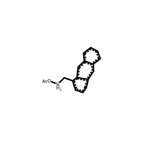 CC(=O)O[SiH2]Cc1cccc2cc3ccccc3cc12